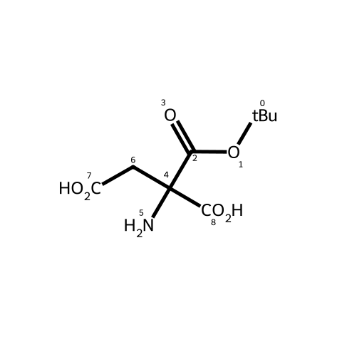 CC(C)(C)OC(=O)C(N)(CC(=O)O)C(=O)O